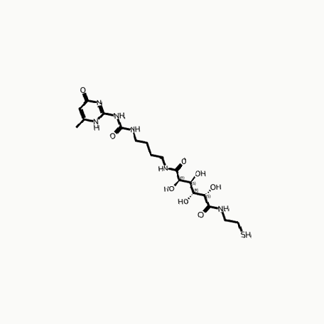 Cc1cc(=O)nc(NC(=O)NCCCCNC(=O)[C@H](O)[C@@H](O)[C@@H](O)[C@H](O)C(=O)NCCS)[nH]1